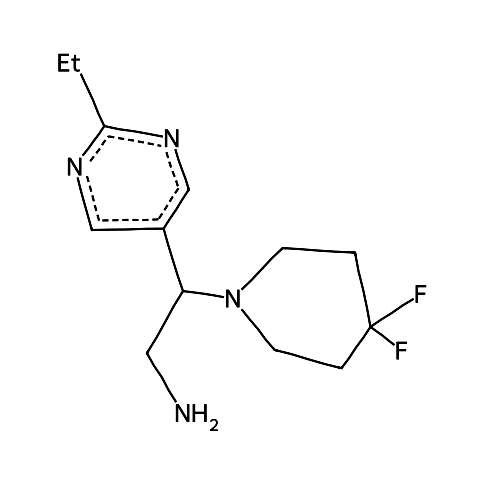 CCc1ncc(C(CN)N2CCC(F)(F)CC2)cn1